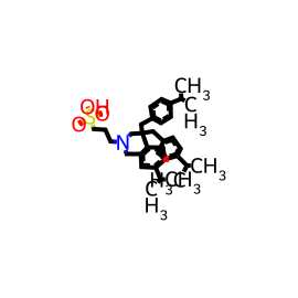 CC(C)c1ccc(CC2(Cc3ccc(C(C)C)cc3)CN(CCCS(=O)(=O)O)Cc3cc(C(C)C)ccc32)cc1